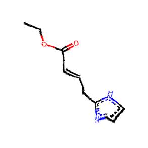 CCOC(=O)C=CCc1ncc[nH]1